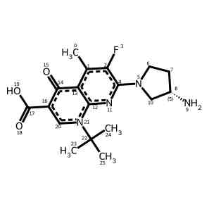 Cc1c(F)c(N2CC[C@H](N)C2)nc2c1c(=O)c(C(=O)O)cn2C(C)(C)C